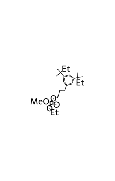 CCOP(=O)(OC)OCCCc1cc(C(C)(C)CC)cc(C(C)(C)CC)c1